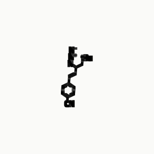 CC(C)(C)CC(/C=C/c1ccc(C#N)cc1)N=[N+]=[N-]